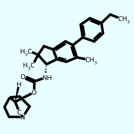 CCc1ccc(-c2cc3c(cc2C)[C@H](NC(=O)O[C@@H]2CN4CCC2CC4)C(C)(C)C3)cc1